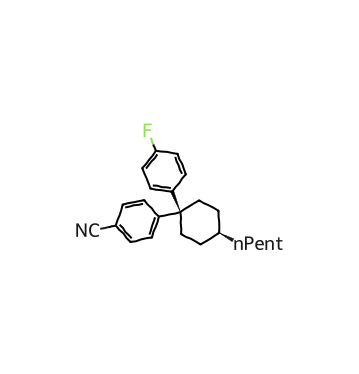 CCCCC[C@H]1CC[C@](c2ccc(F)cc2)(c2ccc(C#N)cc2)CC1